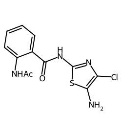 CC(=O)Nc1ccccc1C(=O)Nc1nc(Cl)c(N)s1